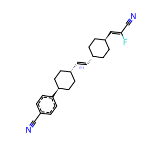 N#CC(F)=C[C@H]1CC[C@H](/C=C/[C@H]2CC[C@H](c3ccc(C#N)cc3)CC2)CC1